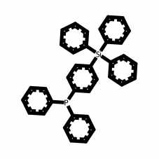 c1ccc(P(c2ccccc2)c2ccc([Si](c3ccccc3)(c3ccccc3)c3ccccc3)cc2)cc1